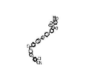 N#Cc1ccc(N2CCC3(CCN(C(=O)c4ccc(N5CCN(C6CN(C7CCN(c8ccc9c(c8)C(=O)N(C8CCC(=O)NC8=O)C9=O)CC7)C6)CC5)cc4)CC3)C2)cc1Cl